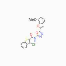 COc1cccc2cc(-c3nnc(NC(=O)c4sc5ccccc5c4Cl)o3)oc12